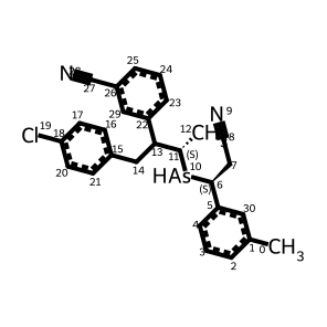 Cc1cccc([C@H](CC#N)[AsH][C@@H](C)C(Cc2ccc(Cl)cc2)c2cccc(C#N)c2)c1